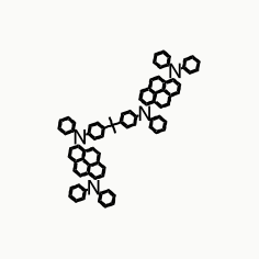 CC(C)(c1ccc(N(c2ccccc2)c2ccc3ccc4c(N(c5ccccc5)c5ccccc5)ccc5ccc2c3c54)cc1)c1ccc(N(c2ccccc2)c2ccc3ccc4c(N(c5ccccc5)c5ccccc5)ccc5ccc2c3c54)cc1